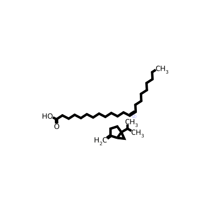 C=C1CCC2(C(C)C)CC12.CCCCCCCC/C=C\CCCCCCCCCCCC(=O)O